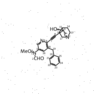 CON(C=O)c1cnc(C#CC2(O)CN3CCC2CC3)c(Cc2ccccc2)c1